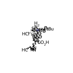 C#CCn1nnnc1SCC1=C(C(=O)O)N2C(=O)C(NC(=O)/C(=N\OCC(=O)OC(C)(C)C)N3C=CSC3N)[C@H]2SC1.Cl